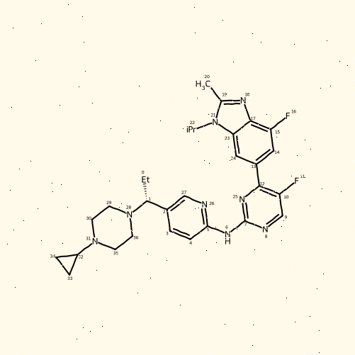 CC[C@H](c1ccc(Nc2ncc(F)c(-c3cc(F)c4nc(C)n(C(C)C)c4c3)n2)nc1)N1CCN(C2CC2)CC1